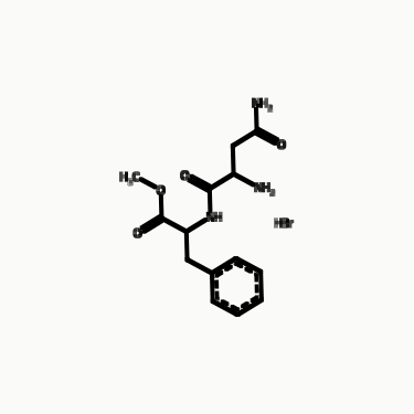 Br.COC(=O)C(Cc1ccccc1)NC(=O)C(N)CC(N)=O